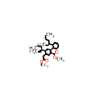 C=C/C(=C\C=C/C)c1ccccc1-c1cc(C(/C=C\C)=C/C)c(CC(=O)OC)cc1C(=O)OC